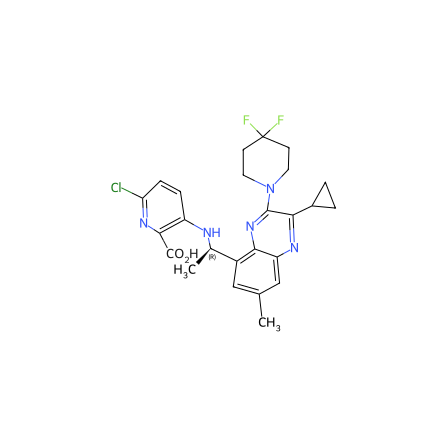 Cc1cc([C@@H](C)Nc2ccc(Cl)nc2C(=O)O)c2nc(N3CCC(F)(F)CC3)c(C3CC3)nc2c1